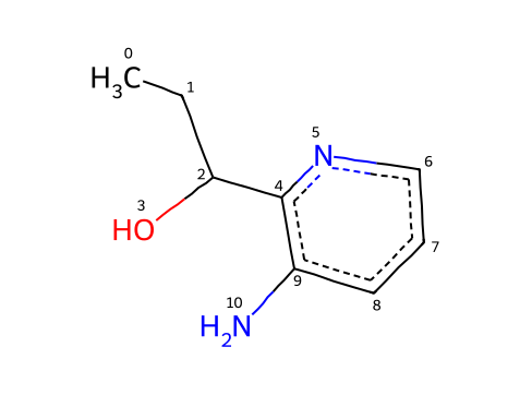 CCC(O)c1ncccc1N